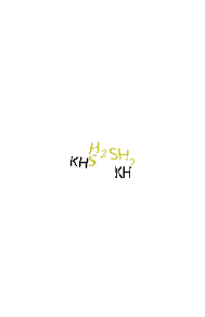 S.S.[KH].[KH]